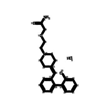 Cl.NC(=O)COCCN1CCC(=Cc2ccccc2-c2ccccc2Cl)CC1